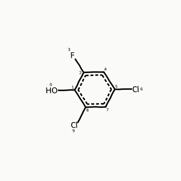 Oc1c(F)cc(Cl)cc1Cl